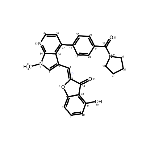 Cn1cc(/C=C2\Oc3cccc(O)c3C2=O)c2c(-c3ccc(C(=O)N4CCCC4)cc3)ccnc21